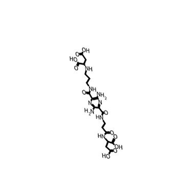 Nc1nc(C(=O)NCCC(=O)NC(CC(=O)O)C(=O)O)c(N)nc1C(=O)NCCCNC(CC(=O)O)C(=O)O